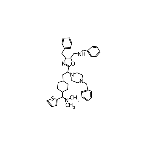 CN(C)C(c1cccs1)C1CCC(CC(c2nc(Cc3ccccc3)c(CNCc3ccccc3)o2)N2CCN(Cc3ccccc3)CC2)CC1